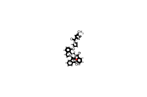 Cc1cc(C(=O)N2CC[C@H](Oc3cccc4c3[C@@H](CN3C(=O)c5ccccc5C3=O)N(C(=O)C3CCCCC3C(=O)O)CC4)C2)no1